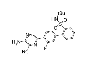 CC(C)(C)NS(=O)(=O)c1ccccc1-c1ccc(-c2cnc(N)c(C#N)n2)c(F)c1